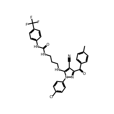 Cc1ccc(C(=O)c2nn(-c3ccc(Cl)cc3)c(NCCCNC(=O)Nc3ccc(C(F)(F)F)cc3)c2C#N)cc1